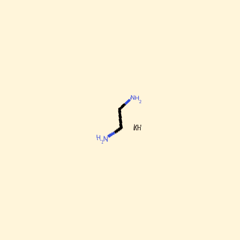 NCCN.[KH]